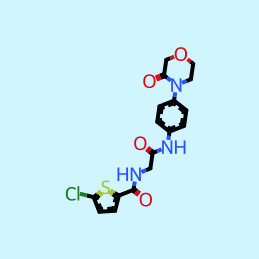 O=C(CNC(=O)c1ccc(Cl)s1)Nc1ccc(N2CCOCC2=O)cc1